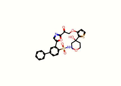 NS(=O)(=O)c1ccc(-c2ccccc2)cc1-c1cnc(C(=O)COc2ccsc2C2(O)CCOCC2)o1